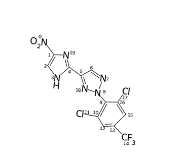 O=[N+]([O-])c1c[nH]c(-c2cnn(-c3c(Cl)cc(C(F)(F)F)cc3Cl)n2)n1